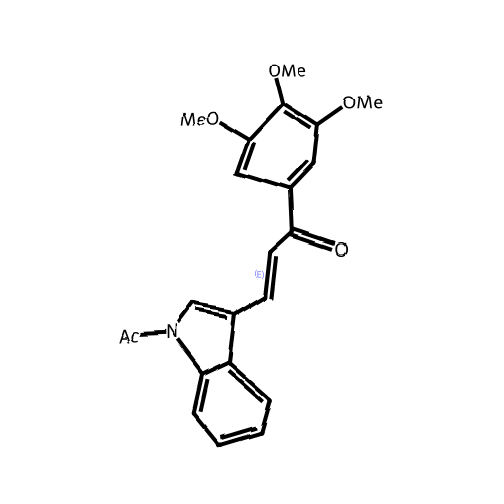 COc1cc(C(=O)/C=C/c2cn(C(C)=O)c3ccccc23)cc(OC)c1OC